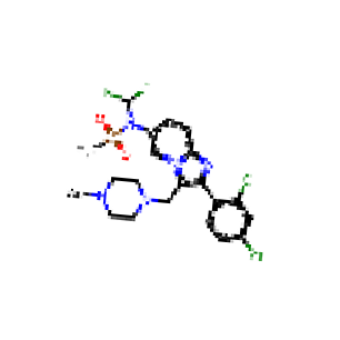 CC(=O)N1CCN(Cc2c(-c3ccc(Cl)cc3Cl)nc3ccc(N(C(F)F)S(C)(=O)=O)cn23)CC1